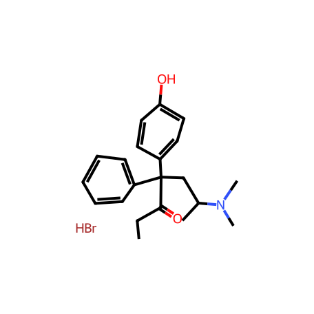 Br.CCC(=O)C(CC(C)N(C)C)(c1ccccc1)c1ccc(O)cc1